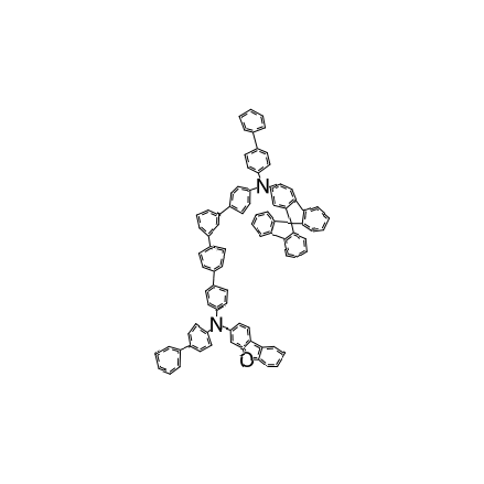 c1ccc(-c2ccc(N(c3ccc(-c4cccc(-c5ccc(-c6ccc(N(c7ccc(-c8ccccc8)cc7)c7ccc8c(c7)oc7ccccc78)cc6)cc5)c4)cc3)c3ccc4c(c3)C3(c5ccccc5-c5ccccc53)c3ccccc3-4)cc2)cc1